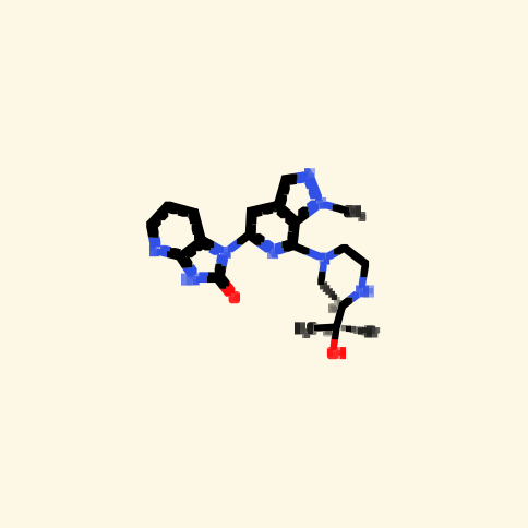 CC(C)[C@@](C)(O)[C@@H]1CN(c2nc(-n3c(=O)[nH]c4ncccc43)cc3cnn(C)c23)CCN1